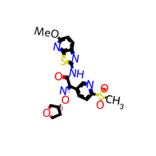 COc1ccc2nc(NC(=O)/C(=N/O[C@@H]3CCOC3)c3ccc(S(C)(=O)=O)nc3)sc2n1